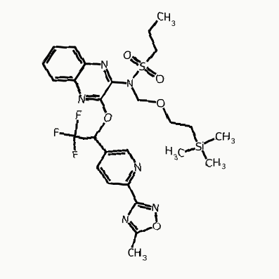 CCCS(=O)(=O)N(COCC[Si](C)(C)C)c1nc2ccccc2nc1OC(c1ccc(-c2noc(C)n2)nc1)C(F)(F)F